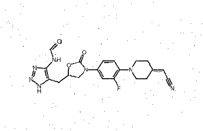 N#CC=C1CCN(c2ccc(N3CC(Cc4[nH]nnc4NC=O)OC3=O)cc2F)CC1